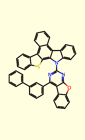 c1ccc(-c2cccc(-c3nc(-n4c5ccccc5c5c6ccccc6c6c7ccccc7sc6c54)nc4oc5ccccc5c34)c2)cc1